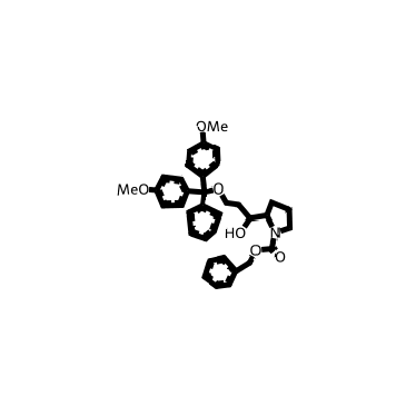 COc1ccc(C(OCCC(O)C2CCCN2C(=O)OCc2ccccc2)(c2ccccc2)c2ccc(OC)cc2)cc1